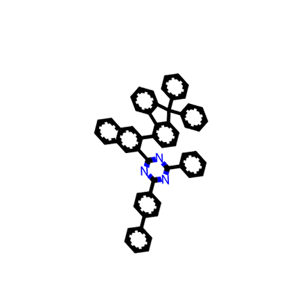 c1ccc(-c2ccc(-c3nc(-c4ccccc4)nc(-c4cc5ccccc5cc4-c4cccc5c4-c4ccccc4C5(c4ccccc4)c4ccccc4)n3)cc2)cc1